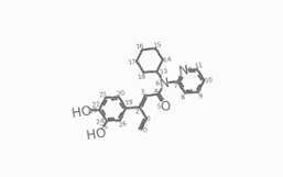 C=C/C(=C\C(=O)N(c1ccccn1)C1CCCCC1)c1ccc(O)c(O)c1